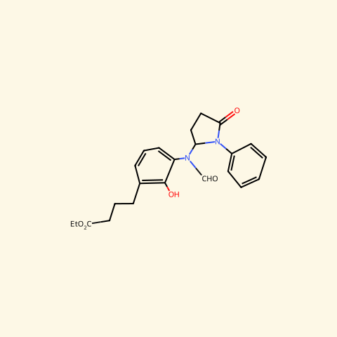 CCOC(=O)CCCc1cccc(N(C=O)C2CCC(=O)N2c2ccccc2)c1O